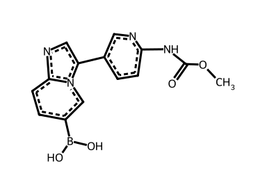 COC(=O)Nc1ccc(-c2cnc3ccc(B(O)O)cn23)cn1